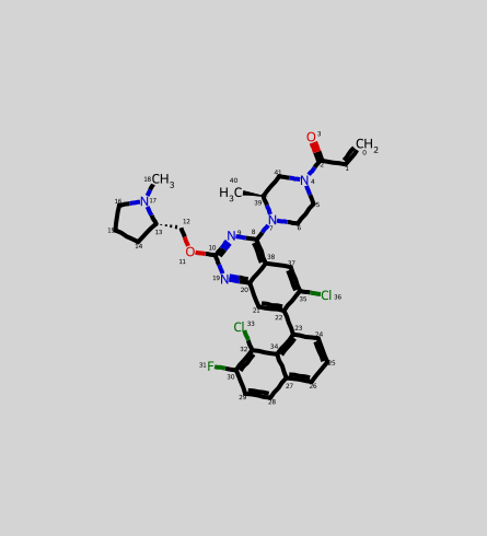 C=CC(=O)N1CCN(c2nc(OC[C@@H]3CCCN3C)nc3cc(-c4cccc5ccc(F)c(Cl)c45)c(Cl)cc23)[C@@H](C)C1